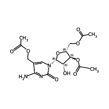 CC(=O)OCc1cn([C@@H]2O[C@H](COC(C)=O)[C@@H](OC(C)=O)[C@@H]2O)c(=O)nc1N